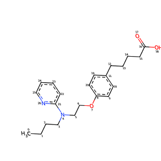 CCCCN(CCOc1ccc(CCCCC(=O)O)cc1)c1ccccn1